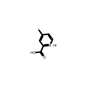 I.O=C(O)c1cc(I)ccn1